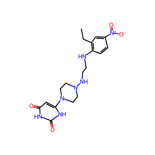 CCc1cc([N+](=O)[O-])ccc1NCCNN1CCN(c2cc(=O)[nH]c(=O)[nH]2)CC1